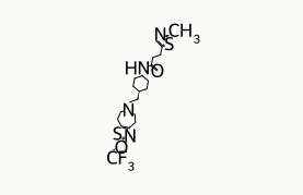 Cc1ncc(CCC(=O)N[C@H]2CC[C@H](CCN3CCc4nc(OCC(F)(F)F)sc4CC3)CC2)s1